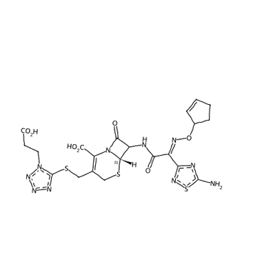 Nc1nc(C(=NOC2C=CCC2)C(=O)NC2C(=O)N3C(C(=O)O)=C(CSc4nnnn4CCC(=O)O)CS[C@@H]23)ns1